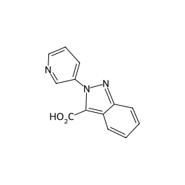 O=C(O)c1c2ccccc2nn1-c1cccnc1